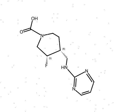 O=C(O)N1CC[C@H](CNc2ncccn2)[C@H](F)C1